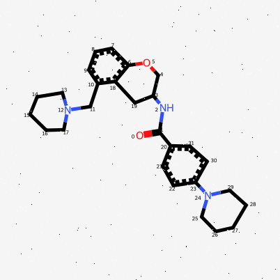 O=C(NC1COc2cccc(CN3CCCCC3)c2C1)c1ccc(N2CCCCC2)cc1